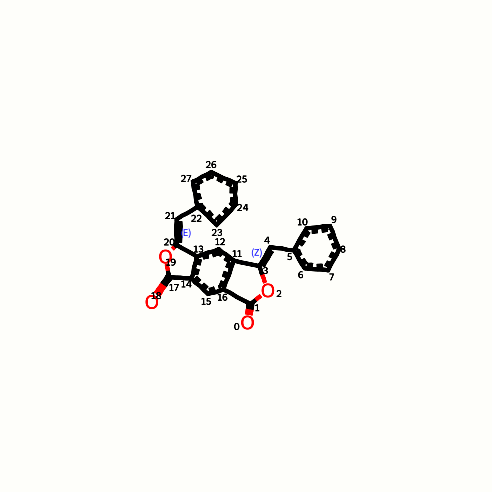 O=C1O/C(=C\c2ccccc2)c2cc3c(cc21)C(=O)O/C3=C/c1ccccc1